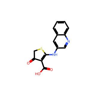 O=C(O)C1=C(Nc2cnc3ccccc3c2)SCC1=O